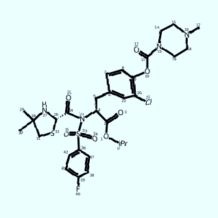 CC(C)OC(=O)[C@H](Cc1ccc(OC(=O)N2CCN(C)CC2)c(Cl)c1)N(C(=O)[C@H]1NC(C)(C)CS1)S(=O)(=O)c1ccc(F)cc1